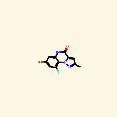 Cc1cc2c(=O)[nH]c3cc(Br)cc(F)c3n2n1